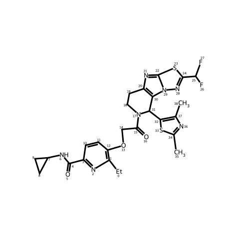 CCc1nc(C(=O)NC2CC2)ccc1OCC(=O)N1CCc2nc3sc(C(F)F)nn3c2C1c1sc(C)nc1C